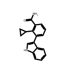 NC(=O)c1cccc(-c2c[nH]c3ccccc23)c1C1CC1